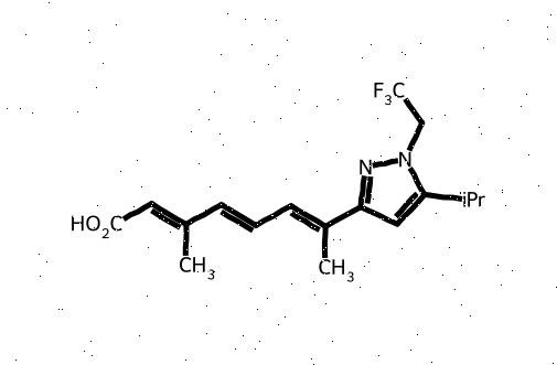 CC(/C=C/C=C(\C)c1cc(C(C)C)n(CC(F)(F)F)n1)=C\C(=O)O